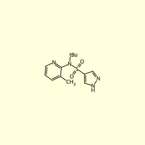 Cc1cccnc1N(C(C)(C)C)S(=O)(=O)c1cn[nH]c1